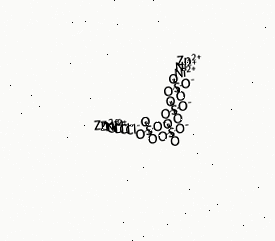 O=S(=O)([O-])[O-].O=S(=O)([O-])[O-].O=S(=O)([O-])[O-].O=S(=O)([O-])[O-].[Cl-].[Cl-].[Cl-].[Cl-].[Ni+2].[Ni+2].[Ni+2].[Zn+2].[Zn+2].[Zn+2]